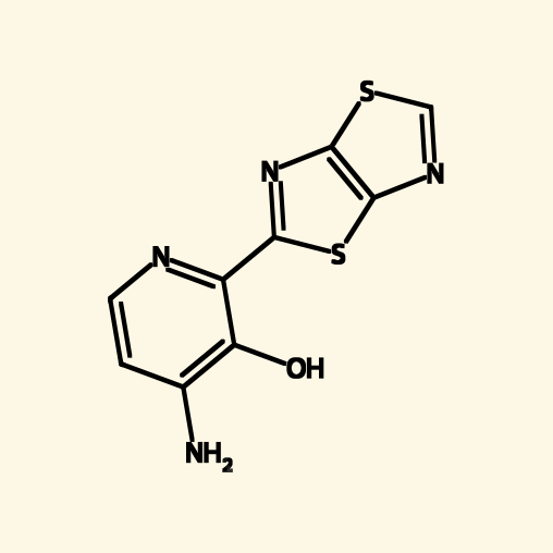 Nc1ccnc(-c2nc3scnc3s2)c1O